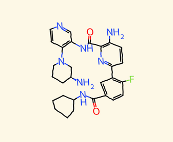 Nc1ccc(-c2cc(C(=O)NC3CCCCC3)ccc2F)nc1C(=O)Nc1cnccc1N1CCC[C@H](N)C1